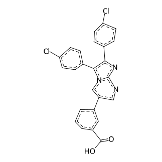 O=C(O)c1cccc(-c2cnc3nc(-c4ccc(Cl)cc4)c(-c4ccc(Cl)cc4)n3c2)c1